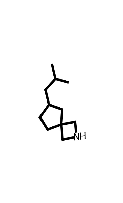 CC(C)CC1CCC2(CNC2)C1